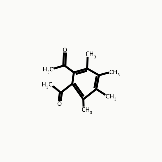 CC(=O)c1c(C)c(C)c(C)c(C)c1C(C)=O